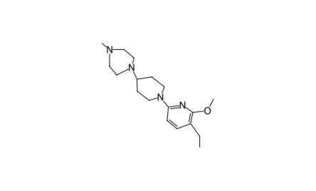 CCc1ccc(N2CCC(N3CCN(C)CC3)CC2)nc1OC